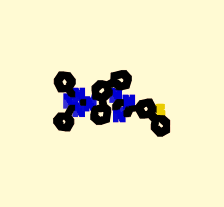 c1ccc(-c2nc(-c3ccccc3)nc(-n3c4ccccc4c4c3ccc3c5ccccc5n(-c5cncc(-c6ccc7sc8ccccc8c7c6)n5)c34)n2)cc1